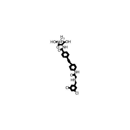 C[C@@H](O)[C@H](NC(=O)c1ccc(C#Cc2ccc(NC(=O)CNCc3cc(Cl)cc(Cl)c3)cc2)cc1)C(=O)NO